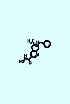 CN1Cc2cc(C(=O)NO)cnc2C[Si@@H]1Cc1ccccc1